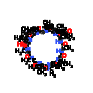 C/C=C/C[C@@H](C)[C@@H](O)[C@H]1C(=O)N[C@@H](CC)C(=O)N(C)CC(=O)N(C)[C@@H](CC(C)C)C(=O)N[C@@H](C(C)C)C(=O)N(C)[C@@H](CC(C)C)C(=O)N[C@@H](C)C(=O)N[C@H](C)C(=O)N(C)[C@@H](CC(C)C)C(=O)N(C)[C@@H](CC(C)C)C(=O)N(C)[C@@H](C(C)C)C(=O)N1C.CC(C)=O